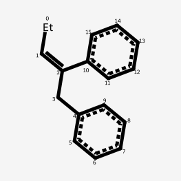 [CH2]CC=C(Cc1ccccc1)c1ccccc1